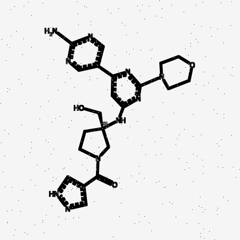 Nc1ncc(-c2cc(N[C@@]3(CO)CCN(C(=O)c4cn[nH]c4)C3)nc(N3CCOCC3)n2)cn1